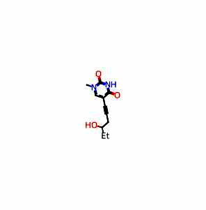 CC[C@@H](O)CC#Cc1cn(C)c(=O)[nH]c1=O